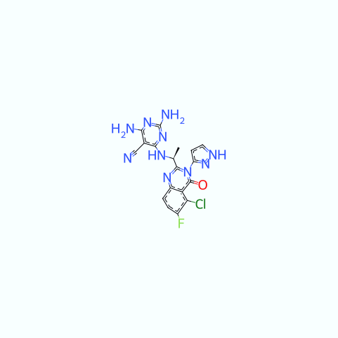 C[C@H](Nc1nc(N)nc(N)c1C#N)c1nc2ccc(F)c(Cl)c2c(=O)n1-c1cc[nH]n1